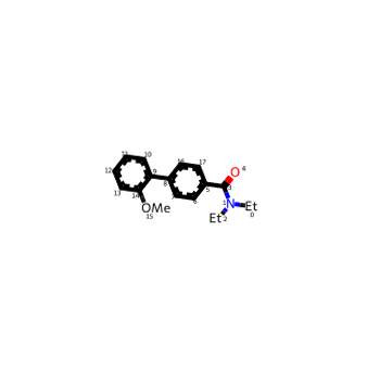 CCN(CC)C(=O)c1ccc(-c2ccccc2OC)cc1